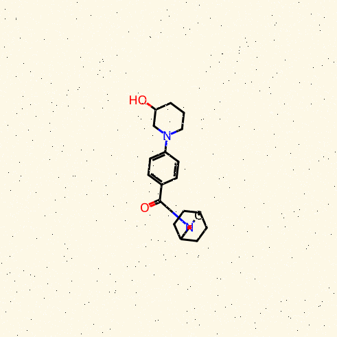 O=C(c1ccc(N2CCCC(O)C2)cc1)N1CC2CCC(CC2)C1